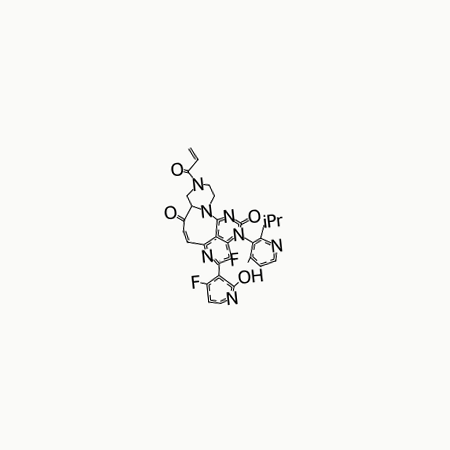 C=CC(=O)N1CCN2c3nc(=O)n(-c4c(C)ccnc4C(C)C)c4c(F)c(-c5c(F)ccnc5O)nc(c34)/C=C\C(=O)C2C1